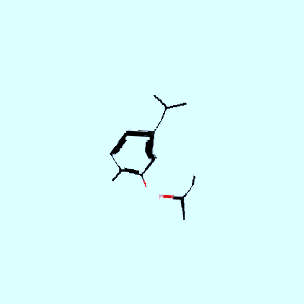 Cc1ccc(C(C)C)cc1OC(C)C